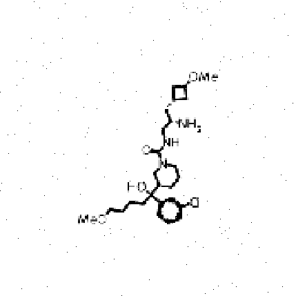 COCCCC[C@@](O)(c1cccc(Cl)c1)[C@@H]1CCCN(C(=O)NC[C@@H](N)C[C@H]2C[C@H](OC)C2)C1